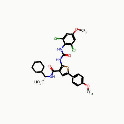 O=C(Nc1sc(-c2ccc(OC(F)(F)F)cc2)cc1C(=O)N[C@H](C(=O)O)C1CCCCC1)Nc1c(Cl)cc(OC(F)(F)F)cc1Cl